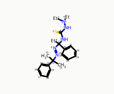 CCN(CC)NC(=S)NC(CC)(/N=N/C(C)(C)c1ccccc1)c1ccccc1